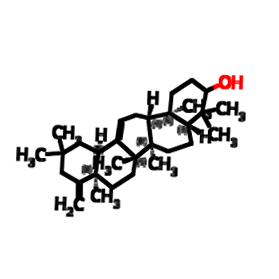 C=C1CC(C)(C)C[C@H]2C3=CC[C@@H]4[C@@]5(C)CCC(O)C(C)(C)[C@@H]5CC[C@@]4(C)[C@]3(C)CC[C@@]12C